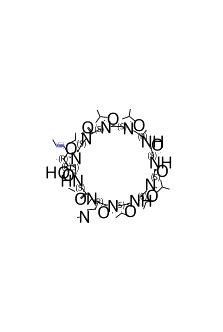 C/C=C/C[C@@H](C)[C@@H](O)[C@H]1C(=O)N[C@@H](CC)C(=O)N(C)[C@H](CCN(C)C)C(=O)N(C)[C@@H](C(C)C)C(=O)N[C@@H](C(C)C)C(=O)N(C)[C@@H](CC(C)C)C(=O)N[C@@H](C)C(=O)N[C@H](C)C(=O)N(C)[C@@H](CC(C)C)C(=O)N(C)[C@@H](CC(C)C)C(=O)N(C)[C@@H](C(C)C)C(=O)N1C